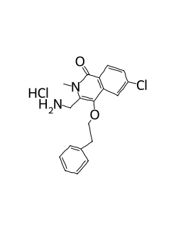 Cl.Cn1c(CN)c(OCCc2ccccc2)c2cc(Cl)ccc2c1=O